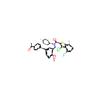 COc1ccc(-c2ccc(C(C)=O)cc2)cc1CN(C(=O)c1sc2c(F)ccc(F)c2c1Cl)[C@H]1CC[C@H](C)CC1